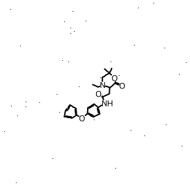 CCN1CC(C)(C)OC(=O)C1CC(=O)Nc1ccc(Oc2ccccc2)cc1